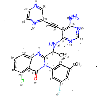 Cc1cc(F)cc(-n2c(C(C)Nc3ncnc(N)c3C#Cc3cnccn3)nc3cccc(Cl)c3c2=O)c1